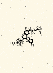 CC(C)CONC(=O)c1cc2c(cc1F)SC[C@H](NC(=O)OC(C)(C)C)C(=O)N2Cc1ccc(Cl)cc1